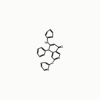 O=c1cc(Nc2ccccc2)n(-c2ccccc2)c2cc(Sc3ccccn3)ncc12